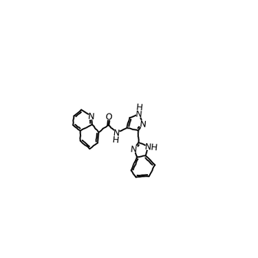 O=C(Nc1c[nH]nc1-c1nc2ccccc2[nH]1)c1cccc2cccnc12